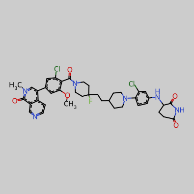 COc1cc(-c2cn(C)c(=O)c3cnccc23)cc(Cl)c1C(=O)N1CCC(F)(CCC2CCN(c3ccc(NC4CCC(=O)NC4=O)cc3Cl)CC2)CC1